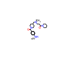 CCCNc1ccc(C(=O)N2CCC(CN(C)CCC(=O)N3CCCCC3)CC2)cc1